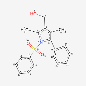 Cc1c(CO)c(C)n(S(=O)(=O)c2ccccc2)c1-c1ccccc1